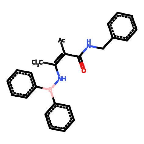 CC(=O)/C(C(=O)NCc1ccccc1)=C(/NB(c1ccccc1)c1ccccc1)C(Cl)(Cl)Cl